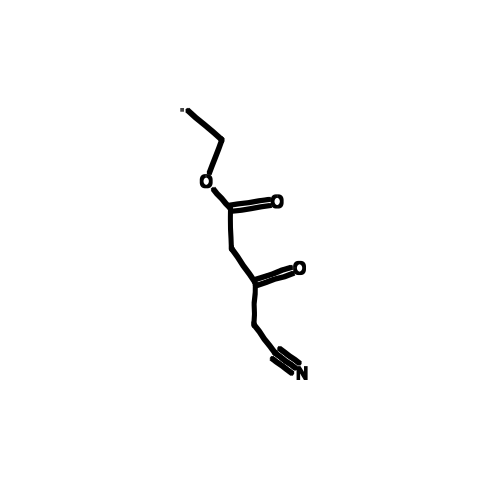 [CH2]COC(=O)CC(=O)CC#N